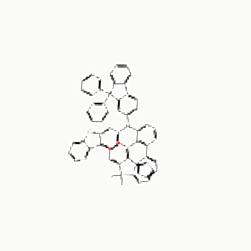 CC1(C)c2ccccc2-c2c(-c3c(-c4ccccc4)cccc3N(c3ccc4c(c3)C(c3ccccc3)(c3ccccc3)c3ccccc3-4)c3ccc4c(c3)oc3ccccc34)cccc21